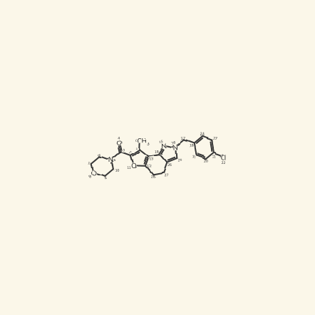 Cc1c(C(=O)N2CCOCC2)oc2c1-c1nn(Cc3ccc(Cl)cc3)cc1CC2